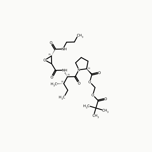 CCCNC(=O)[C@H]1OC1C(=O)N[C@H](C(=O)N1CCC[C@H]1C(=O)OCOC(=O)C(C)(C)C)[C@@H](C)CC